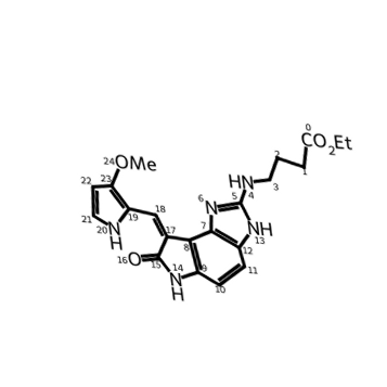 CCOC(=O)CCCNc1nc2c3c(ccc2[nH]1)NC(=O)C3=Cc1[nH]ccc1OC